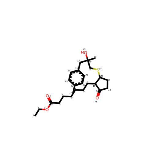 CCOC(=O)CCCCCCC1C(=O)CCC1SCC(C)(O)Cc1ccc(C)cc1